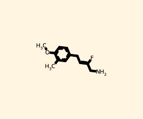 COc1ccc(CC=C(F)CN)cc1C